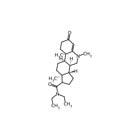 CCN(CC)C(=O)C1CC[C@H]2[C@@H]3CN(C)C4=CC(=O)CC[C@]4(C)[C@@H]3CC[C@]12C